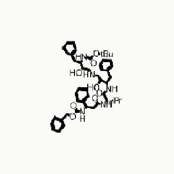 CC(C)[C@H](NC(=O)CC(NC(=O)OCc1ccccc1)c1ccccc1)C(=O)NC(Cc1ccccc1)C(O)CNCC(O)C(Cc1ccccc1)NC(=O)OC(C)(C)C